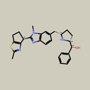 Cc1nc2c(s1)CC[C@H]2c1nc2ccc(C[C@@H]3CC[C@H]([C@H](O)c4ccccc4)N3)cc2n1C